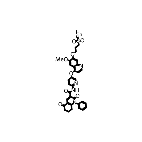 COc1cc2c(Oc3ccc(NC(=O)c4cc5c(n(-c6ccccc6)c4=O)CCCC5=O)nc3)ccnc2cc1OCCCS(C)(=O)=O